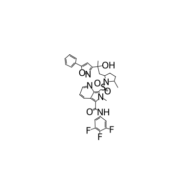 CC1CCC(CC(C)(O)c2cc(-c3ccccc3)on2)N1S(=O)(=O)c1c2ncccc2c(C(=O)Nc2cc(F)c(F)c(F)c2)n1C